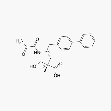 C[C@@](CO)(C[C@@H](Cc1ccc(-c2ccccc2)cc1)NC(=O)C(N)=O)C(=O)O